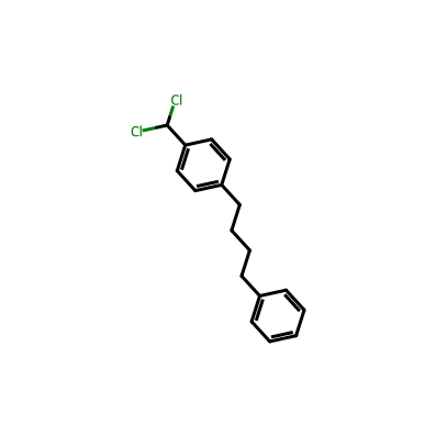 ClC(Cl)c1ccc(CCCCc2ccccc2)cc1